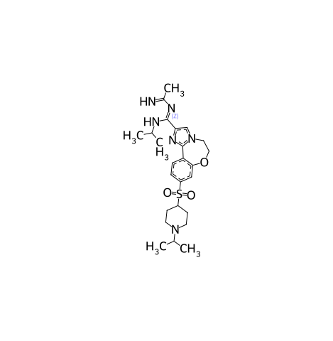 CC(=N)/N=C(\NC(C)C)c1cn2c(n1)-c1ccc(S(=O)(=O)C3CCN(C(C)C)CC3)cc1OCC2